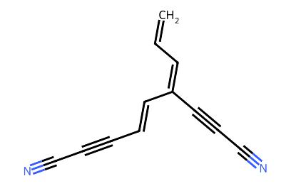 C=C/C=C(C#CC#N)\C=C\C#CC#N